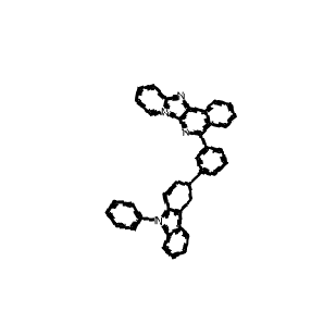 C1=CC(c2cccc(-c3nc4c(nc5ccccn54)c4ccccc34)c2)Cc2c1n(-c1ccccc1)c1ccccc21